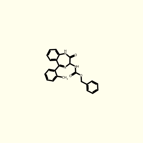 Cc1ccccc1C1=NC(NC(=O)OCc2ccccc2)C(=O)Nc2ccccc21